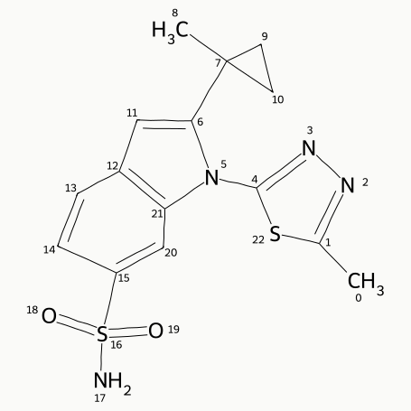 Cc1nnc(-n2c(C3(C)CC3)cc3ccc(S(N)(=O)=O)cc32)s1